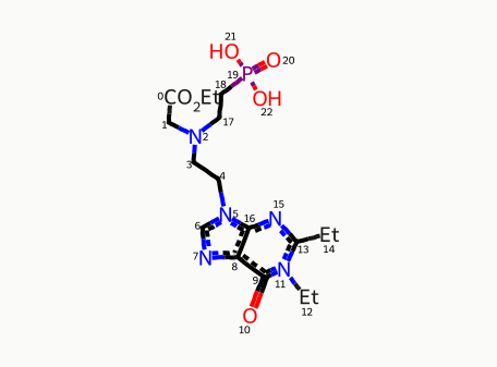 CCOC(=O)CN(CCn1cnc2c(=O)n(CC)c(CC)nc21)CCP(=O)(O)O